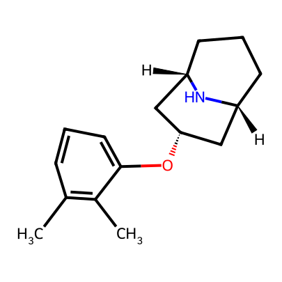 Cc1cccc(O[C@H]2C[C@H]3CCC[C@@H](C2)N3)c1C